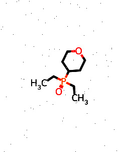 CCP(=O)(CC)C1CCOCC1